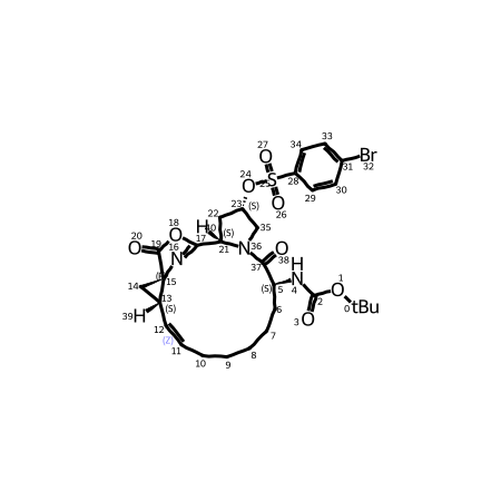 CC(C)(C)OC(=O)N[C@H]1CCCCC/C=C\[C@@H]2C[C@@]23N=C(OC3=O)[C@@H]2C[C@H](OS(=O)(=O)c3ccc(Br)cc3)CN2C1=O